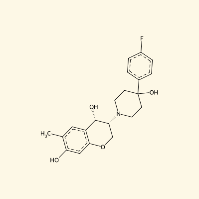 Cc1cc2c(cc1O)OC[C@@H](N1CCC(O)(c3ccc(F)cc3)CC1)[C@H]2O